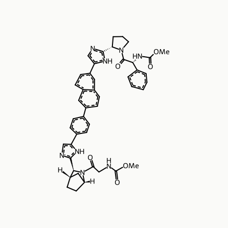 COC(=O)NCC(=O)N1[C@@H]2CC[C@@H](C2)[C@H]1c1ncc(-c2ccc(-c3ccc4cc(-c5cnc([C@@H]6CCCN6C(=O)[C@H](NC(=O)OC)c6ccccc6)[nH]5)ccc4c3)cc2)[nH]1